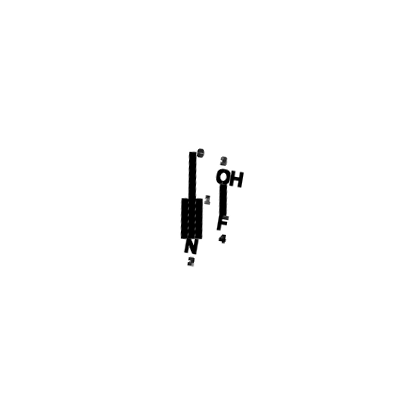 CC#N.OF